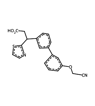 N#CCOc1cccc(-c2cccc(C(CC(=O)O)c3nccs3)c2)c1